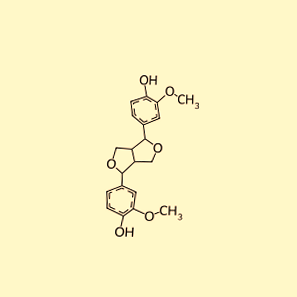 COc1cc(C2OCC3C(c4ccc(O)c(OC)c4)OCC23)ccc1O